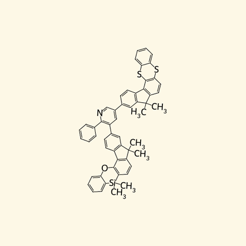 CC1(C)c2cc(-c3cc(-c4ccc5c(c4)C(C)(C)c4ccc6c(c4-5)Sc4ccccc4S6)cnc3-c3ccccc3)ccc2-c2c1ccc1c2Oc2ccccc2[Si]1(C)C